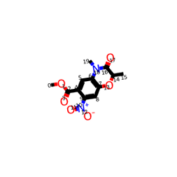 COC(=O)c1cc2c(cc1[N+](=O)[O-])OC(C)C(=O)N2C